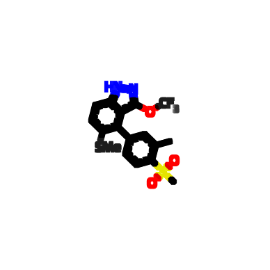 CSc1ccc2[nH]nc(OC(F)(F)F)c2c1-c1ccc(S(C)(=O)=O)c(C)c1